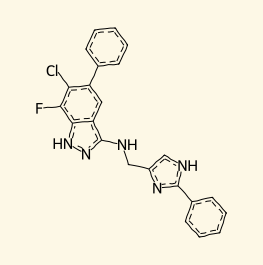 Fc1c(Cl)c(-c2ccccc2)cc2c(NCc3c[nH]c(-c4ccccc4)n3)n[nH]c12